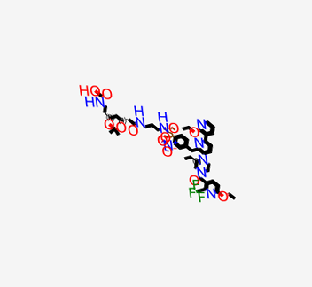 CCOc1ccc(C(=O)N2CCN(c3ccc(-c4cccnc4OCC)nc3Cc3ccc(S(=O)(=O)NCCCNC(=O)C[C@H]4C[C@@H](CCNC(=O)O)OC(C)(C)O4)c([N+](=O)[O-])c3)[C@H](CC)C2)c(C(F)(F)F)n1